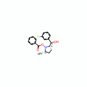 CCC[C@H]1CC[C@@H]([C@H](O)c2cccc(F)c2)N1OC(=O)c1ccccc1